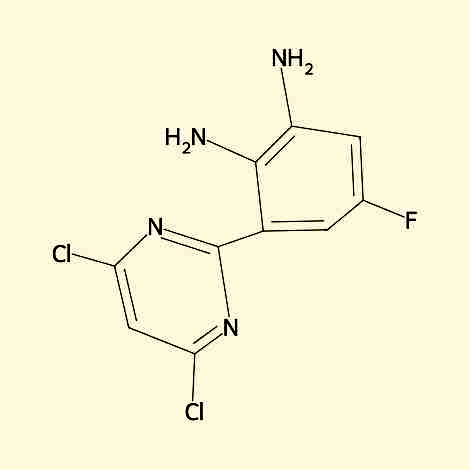 Nc1cc(F)cc(-c2nc(Cl)cc(Cl)n2)c1N